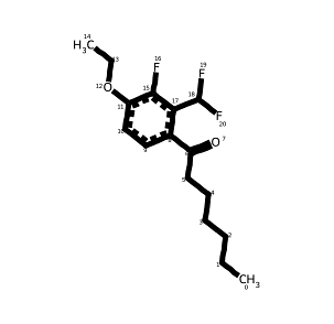 CCCCCCC(=O)c1ccc(OCC)c(F)c1C(F)F